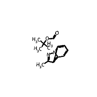 CC(C)(C)OC=O.Cc1nn2c3cccc2c13